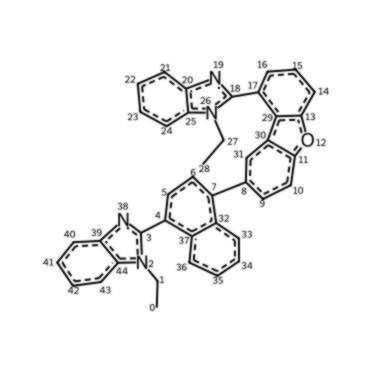 CCn1c(-c2ccc(-c3ccc4oc5cccc(-c6nc7ccccc7n6CC)c5c4c3)c3ccccc23)nc2ccccc21